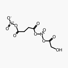 O=C(CCC(=O)O[N+](=O)OC(=O)CO)O[N+](=O)[O-]